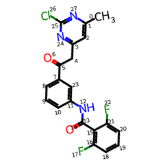 Cc1cc(CC(=O)c2cccc(NC(=O)c3c(F)cccc3F)c2)nc(Cl)n1